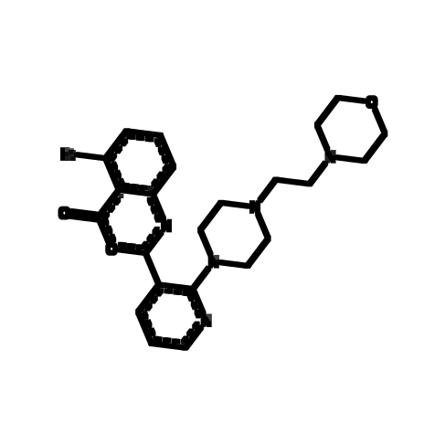 CCc1cccc2nc(-c3cccnc3N3CCN(CCN4CCOCC4)CC3)oc(=O)c12